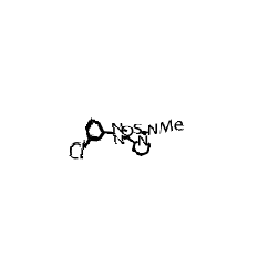 CNC(=S)N1CCCCC1c1nc(-c2cccc(Cl)c2)no1